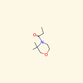 CCC(=O)N1CCOCC1(C)C